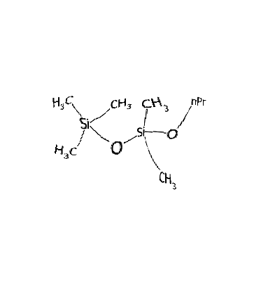 CCCO[Si](C)(C)O[Si](C)(C)C